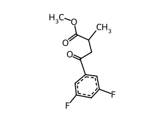 COC(=O)C(C)CC(=O)c1cc(F)cc(F)c1